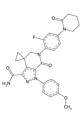 COc1ccc(-n2nc(C(N)=O)c3c2C(=O)N(c2ccc(N4CCCCC4=O)cc2F)CC32CC2)cc1